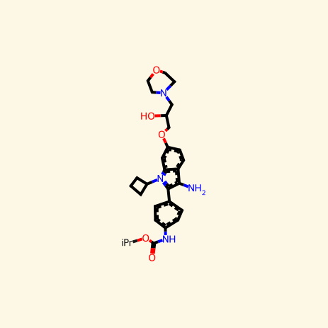 CC(C)OC(=O)Nc1ccc(-c2c(N)c3ccc(OCC(O)CN4CCOCC4)cc3n2C2CCC2)cc1